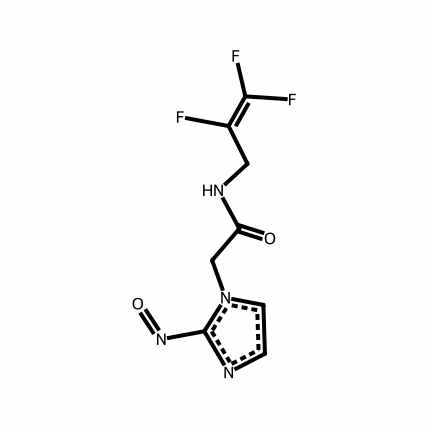 O=Nc1nccn1CC(=O)NCC(F)=C(F)F